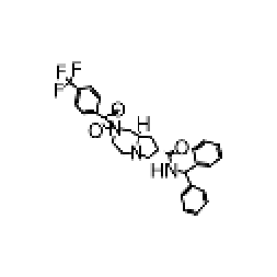 O=C(NC(c1ccccc1)c1ccccc1)[C@H]1C[C@H]2CN(S(=O)(=O)c3ccc(C(F)(F)F)cc3)CCN2C1